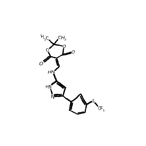 CC1(C)OC(=O)C(=CNc2cc(-c3cccc(SC(F)(F)F)c3)n[nH]2)C(=O)O1